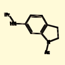 CC(=O)N1CCc2ccc(NC(C)C)cc21